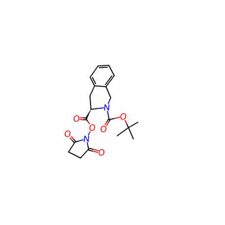 CC(C)(C)OC(=O)N1Cc2ccccc2C[C@@H]1C(=O)ON1C(=O)CCC1=O